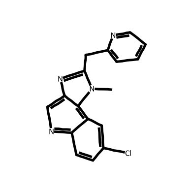 Cn1c(Cc2ccccn2)nc2cnc3ccc(Cl)cc3c21